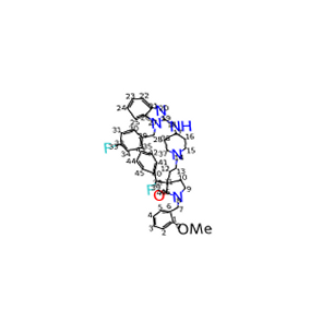 COc1ccccc1CN1CCC(CCN2CCC(Nc3nc4ccccc4n3Cc3ccc(F)cc3)CC2)(C(F)c2ccccc2)C1=O